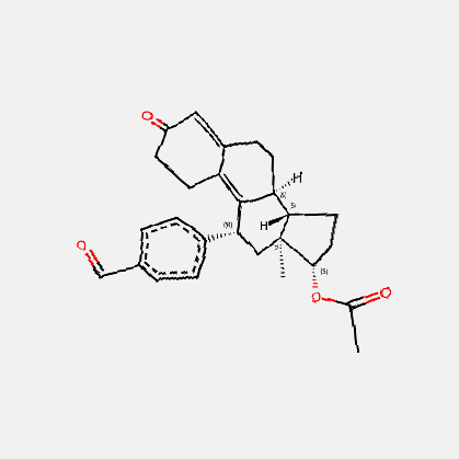 CC(=O)O[C@H]1CC[C@H]2[C@@H]3CCC4=CC(=O)CCC4=C3[C@@H](c3ccc(C=O)cc3)C[C@]12C